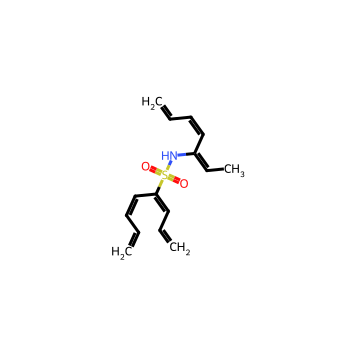 C=C/C=C\C(=C/C)NS(=O)(=O)C(/C=C\C=C)=C/C=C